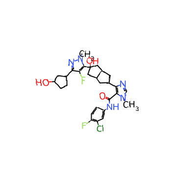 Cn1cnc(C2CC3CC(O)(c4c(F)c(C5CCC(O)C5)nn4C)CC3C2)c1C(=O)Nc1ccc(F)c(Cl)c1